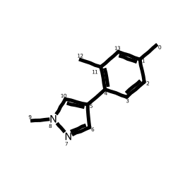 Cc1ccc(-c2cnn(C)c2)c(C)c1